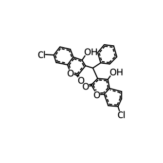 O=c1oc2cc(Cl)ccc2c(O)c1C(c1ccccc1)c1c(O)c2ccc(Cl)cc2oc1=O